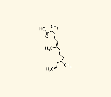 C=CCC(C)CCC/C(C)=C/CCC(C)C(=O)O